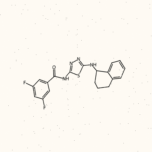 O=C(Nc1nnc(NC2CCCc3ccccc32)s1)c1cc(F)cc(F)c1